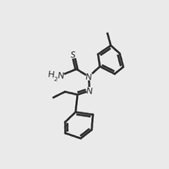 CCC(=NN(C(N)=S)c1cccc(C)c1)c1ccccc1